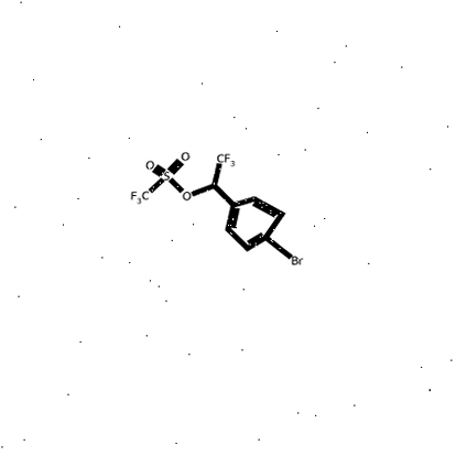 O=S(=O)(OC(c1ccc(Br)cc1)C(F)(F)F)C(F)(F)F